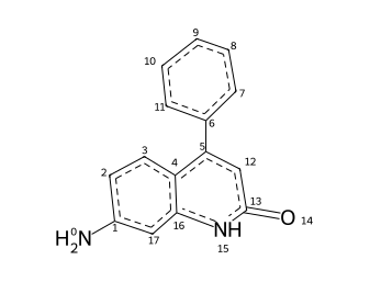 Nc1ccc2c(-c3ccccc3)cc(=O)[nH]c2c1